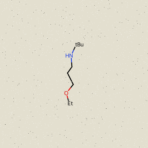 CCOCCCNC(C)(C)C